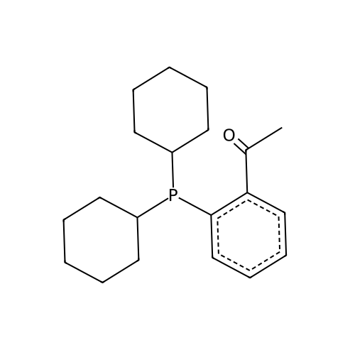 CC(=O)c1ccccc1P(C1CCCCC1)C1CCCCC1